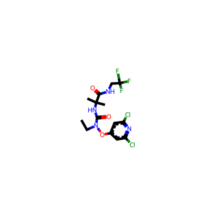 CCN(Oc1cc(Cl)nc(Cl)c1)C(=O)NC(C)(C)C(=O)NCC(F)(F)F